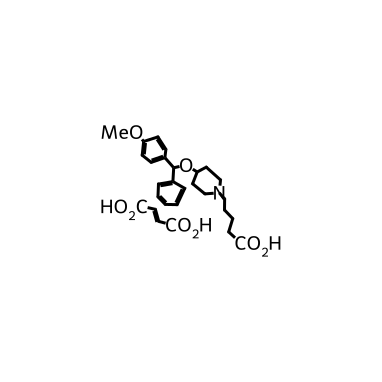 COc1ccc(C(OC2CCN(CCCCC(=O)O)CC2)c2ccccc2)cc1.O=C(O)C=CC(=O)O